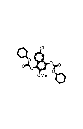 COc1cc(OC(=O)OC2CCCCC2)c2cc(Cl)ccc2c1OC(=O)OC1CCCCC1